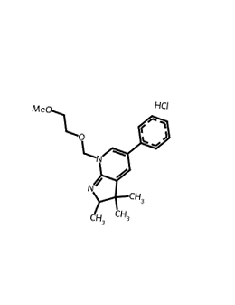 COCCOCN1C=C(c2ccccc2)C=C2C1=NC(C)C2(C)C.Cl